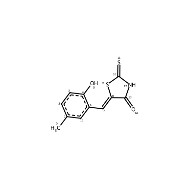 Cc1ccc(O)c(/C=C2\SC(=S)NC2=O)c1